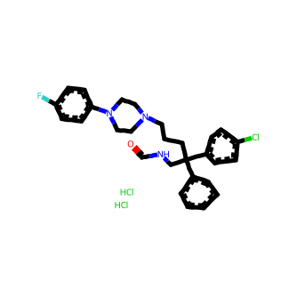 Cl.Cl.O=CNCC(CCCN1CCN(c2ccc(F)cc2)CC1)(c1ccccc1)c1ccc(Cl)cc1